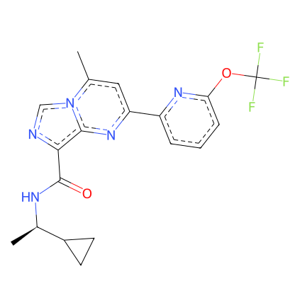 Cc1cc(-c2cccc(OC(F)(F)F)n2)nc2c(C(=O)N[C@H](C)C3CC3)ncn12